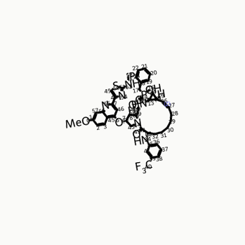 COc1ccc2c(O[C@@H]3C[C@H]4C(=O)N[C@]5(P(=O)(O)Cc6ccccc6)C[C@H]5/C=C\CCCCC[C@H](Nc5cccc(C(F)(F)F)c5)C(=O)N4C3)cc(-c3csc(NC(C)C)n3)nc2c1